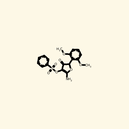 COc1cccc(OC)c1C1OC(N)=C(OS(=O)(=O)c2ccccc2)C1=O